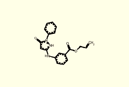 C=CCOC(=O)c1cccc(Nc2cc(=O)n(-c3ccccc3)[nH]2)c1